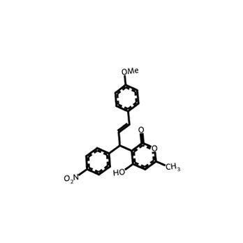 COc1ccc(C=CC(c2ccc([N+](=O)[O-])cc2)c2c(O)cc(C)oc2=O)cc1